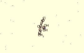 CN1CCc2cc3cc(-n4ccc(OCc5ccc(Cl)cn5)cc4=O)ccc3n2CC1.O=C(O)/C=C\C(=O)O